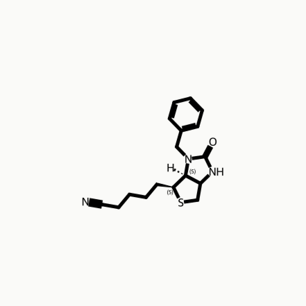 N#CCCCC[C@@H]1SCC2NC(=O)N(Cc3ccccc3)[C@@H]21